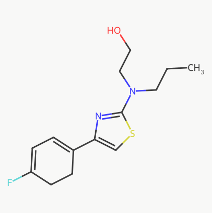 CCCN(CCO)c1nc(C2=CC=C(F)CC2)cs1